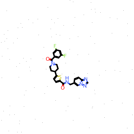 O=C(NCc1ccc2ncnn2c1)c1ccc(C2CCN(C(=O)c3cc(F)cc(F)c3)CC2)s1